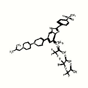 Cc1cc(C2CCN(C3CCN(CC(C)C)CC3)CC2)cc2[nH]c(-c3ccc(S(C)(=O)=O)cc3)nc12.O=C(O)C(F)(F)F.O=C(O)C(F)(F)F.O=C(O)C(F)(F)F